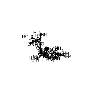 CC(C)[C@H](NC(=O)[C@H](CC(N)=O)NC(=O)[C@H](CCCNC(=N)N)NC(=O)[C@H](C)NC(=O)[C@H](C)NC(=O)[C@H](Cc1ccccc1)NC(=O)[C@H](CCCNC(=N)N)NC(=O)[C@H](C)NC(=O)CNC(=O)[C@H](CCCNC(=N)N)NC(=O)[C@H](CCC(=O)O)NC(=O)[C@@H](N)CO)C(=O)O